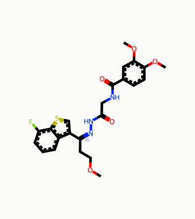 COCC/C(=N/NC(=O)CNC(=O)c1ccc(OC)c(OC)c1)c1csc2c(F)cccc12